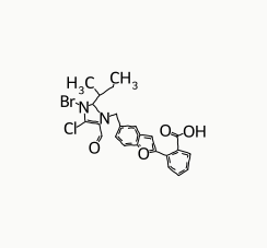 CCC(C)C1N(Br)C(Cl)=C(C=O)N1Cc1ccc2oc(-c3ccccc3C(=O)O)cc2c1